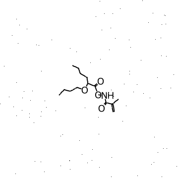 C=C(C)C(=O)NOC(=O)C(CCCC)OCCCC